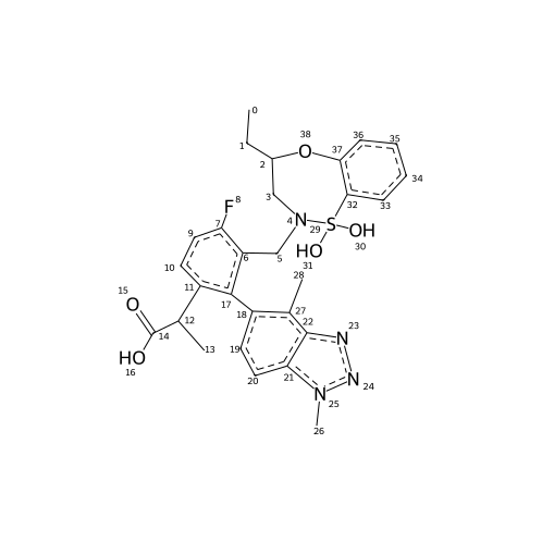 CCC1CN(Cc2c(F)ccc(C(C)C(=O)O)c2-c2ccc3c(nnn3C)c2C)S(O)(O)c2ccccc2O1